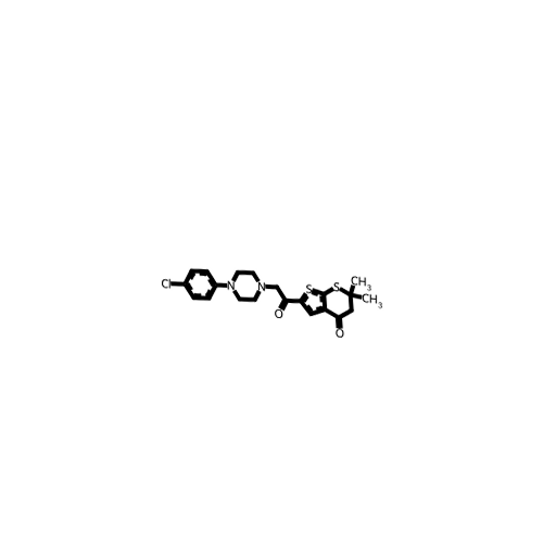 CC1(C)CC(=O)c2cc(C(=O)CN3CCN(c4ccc(Cl)cc4)CC3)sc2S1